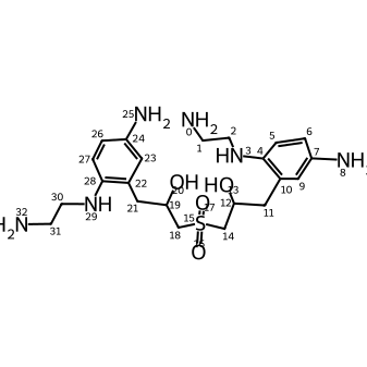 NCCNc1ccc(N)cc1CC(O)CS(=O)(=O)CC(O)Cc1cc(N)ccc1NCCN